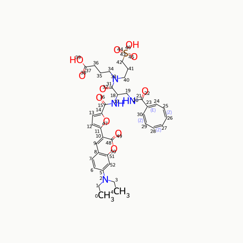 CCN(CC)c1ccc2cc(-c3ccc(C(=O)NC(CNC(=O)C4=C/C=C\C=C/C=C\4)C(=O)N(CCCC(=O)O)CCCS(=O)(=O)O)o3)c(=O)oc2c1